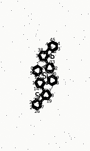 c1ccc([Si](c2ccccc2)(c2cccc(-c3cccc4c3sc3ccccc34)c2)c2cccc(-c3cccc4c3sc3ccccc34)c2)cc1